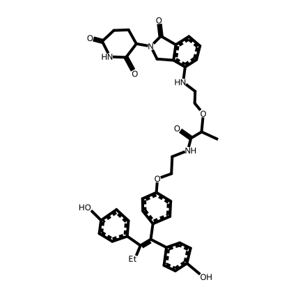 CCC(=C(c1ccc(O)cc1)c1ccc(OCCNC(=O)C(C)OCCNc2cccc3c2CN(C2CCC(=O)NC2=O)C3=O)cc1)c1ccc(O)cc1